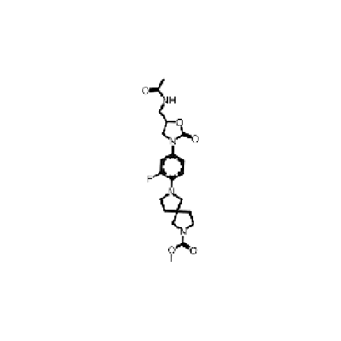 COC(=O)N1CCC2(CCN(c3ccc(N4CC(CNC(C)=O)OC4=O)cc3F)C2)C1